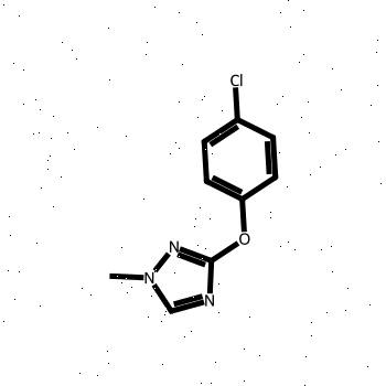 Cn1cnc(Oc2ccc(Cl)cc2)n1